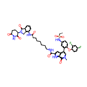 CCS(=O)(=O)Nc1ccc(Oc2ccc(F)cc2F)c(-c2cn(C)c(=O)c3[nH]c(C(=O)NCCCCCCCC(=O)Nc4cccc5c4CN(C4CCC(=O)NC4=O)C5=O)cc23)c1